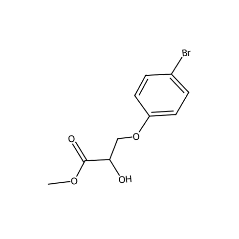 COC(=O)C(O)COc1ccc(Br)cc1